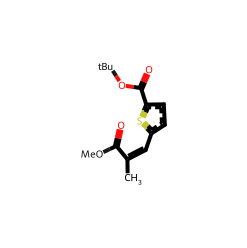 COC(=O)C(C)=Cc1ccc(C(=O)OC(C)(C)C)s1